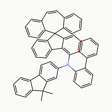 CC1(C)c2ccccc2-c2ccc(N(c3ccccc3-c3ccccc3)c3cccc4c3-c3ccccc3C43c4ccccc4C=Cc4ccccc43)cc21